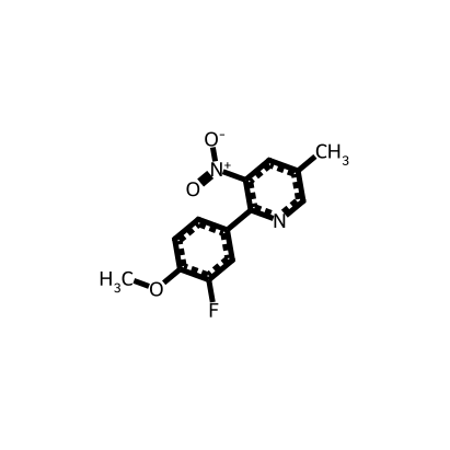 COc1ccc(-c2ncc(C)cc2[N+](=O)[O-])cc1F